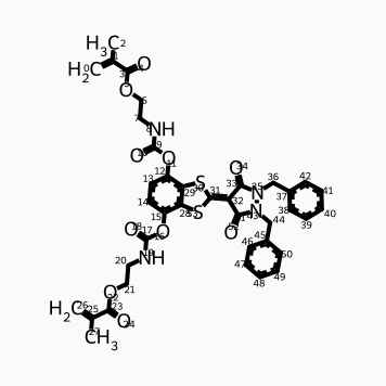 C=C(C)C(=O)OCCNC(=O)Oc1ccc(OC(=O)NCCOC(=O)C(=C)C)c2c1SC(=C1C(=O)N(Cc3ccccc3)N(Cc3ccccc3)C1=O)S2